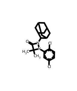 CC1(C)C(=O)N(C2C3CC4CC(C3)CC2C4)N1c1cc(Cl)ccc1Cl